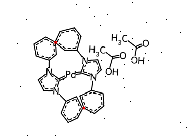 CC(=O)O.CC(=O)O.c1ccc(-n2ccn(-c3ccccc3)[c]2=[Pd]=[c]2n(-c3ccccc3)ccn2-c2ccccc2)cc1